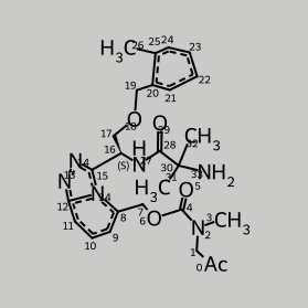 CC(=O)CN(C)C(=O)OCc1cccc2nnc([C@@H](COCc3ccccc3C)NC(=O)C(C)(C)N)n12